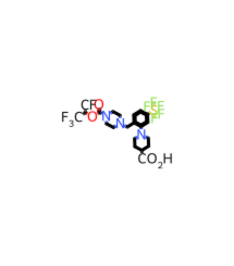 O=C(O)C1CCN(c2cc(S(F)(F)(F)(F)F)ccc2CN2CCN(C(=O)OC(C(F)(F)F)C(F)(F)F)CC2)CC1